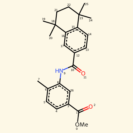 COC(=O)c1ccc(C)c(NC(=O)c2ccc3c(c2)C(C)(C)CCC3(C)C)c1